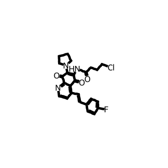 O=C(CCCCl)NC1=C(N2CCCC2)C(=O)c2nccc(/C=C/c3ccc(F)cc3)c2C1=O